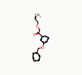 C=CCOCC(=O)c1cccc(OCc2ccccc2)c1